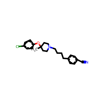 CC1(Oc2ccc(Cl)cc2)CCN(CCCCc2ccc(C#N)cc2)CC1